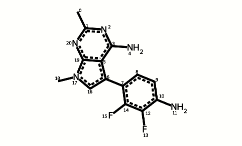 Cc1nc(N)c2c(-c3ccc(N)c(F)c3F)cn(C)c2n1